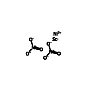 O=[N+]([O-])[O-].O=[N+]([O-])[O-].[Ni+2].[Sc]